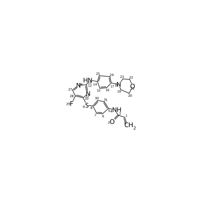 C=CC(=O)Nc1ccc(Sc2nc(Nc3ccc(N4CCOCC4)cc3)ncc2F)cc1